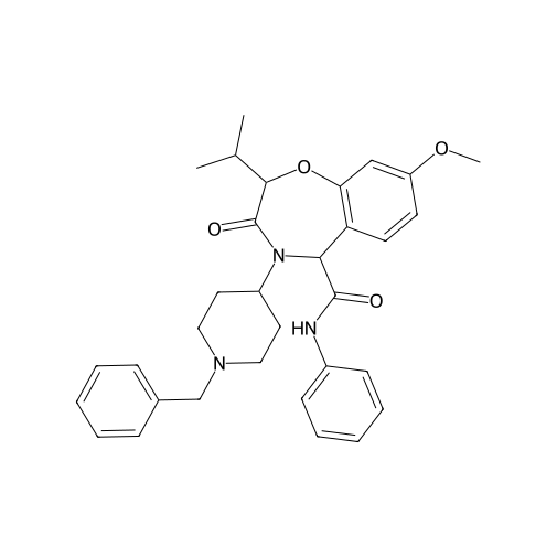 COc1ccc2c(c1)OC(C(C)C)C(=O)N(C1CCN(Cc3ccccc3)CC1)C2C(=O)Nc1ccccc1